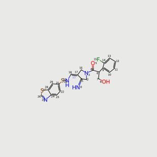 N=C1CN(C(=O)C(CO)c2ccccc2F)C/C1=C/NSc1ccc2ncsc2c1